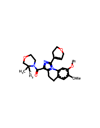 COc1cc2c(cc1OC(C)C)-n1c(C3=CCOCC3)nc(C(=O)N3CCOCC3(C)C)c1CC2